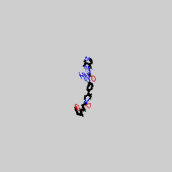 O=C(C=Cc1ccco1)N1CC=C(c2ccc(NC(=O)N3Cc4ccncc4C3)cc2)CC1